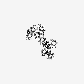 c1ccc(-c2nc(-c3ccc(-c4ccc(-c5cccc6oc7ccccc7c56)c5c4oc4ccccc45)cc3)nc(-c3cccc4c3oc3ccccc34)n2)cc1